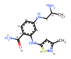 Cc1cc(Nc2cc(NCC(C)N)ccc2C(N)=O)sn1